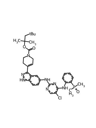 CC(C)(C)CC(C)(C)OC(=O)N1CC=C(c2n[nH]c3ccc(Nc4ncc(Cl)c(Nc5ccccc5P(C)(C)=O)n4)cc23)CC1